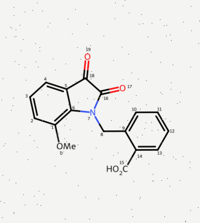 COc1cccc2c1N(Cc1ccccc1C(=O)O)C(=O)C2=O